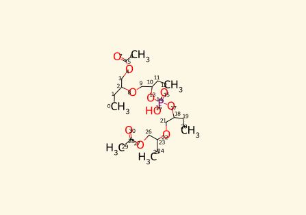 CCC(COC(C)=O)OCC(CC)OP(=O)(O)OC(CC)COC(CC)COC(C)=O